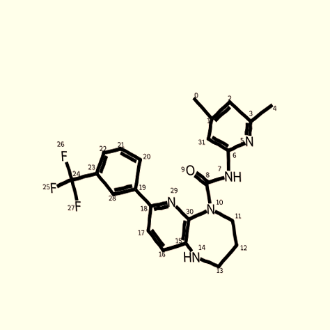 Cc1cc(C)nc(NC(=O)N2CCCNc3ccc(-c4cccc(C(F)(F)F)c4)nc32)c1